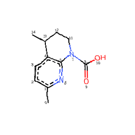 Cc1ccc2c(n1)N(C(=O)O)CCC2C